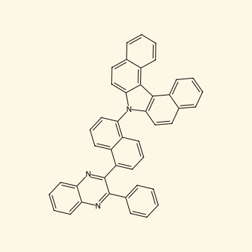 c1ccc(-c2nc3ccccc3nc2-c2cccc3c(-n4c5ccc6ccccc6c5c5c6ccccc6ccc54)cccc23)cc1